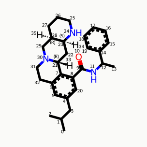 CC(C)Cc1cc2c(c(C(=O)NC(C)c3ccccc3)c1)[C@H]1C[C@@H]3NCCC[C@@H]3CN1CC2